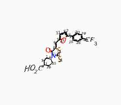 O=C(O)C1CCC(N2C(=O)C(=Cc3ccc(-c4ccc(C(F)(F)F)cc4)o3)SC2=S)CC1